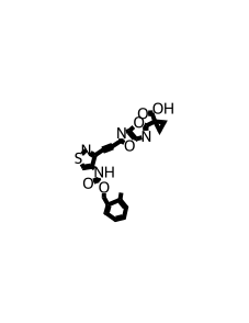 Cc1ccccc1COC(=O)Nc1csnc1C#Cc1nc2oc(C3(C(=O)O)CC3)nc2o1